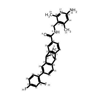 CC(=O)N1C2c3ccc(C(=O)NCc4c(C)cc(N)nc4C)cc3C1c1cc(-c3ccc(F)cc3F)ccc12